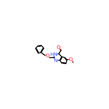 COc1ccc2c(c1)C(C=O)NC(COCc1ccccc1)=N2